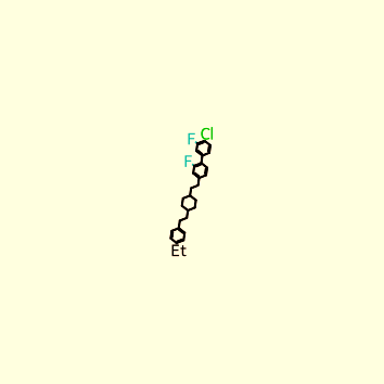 CCc1ccc(CCC2CCC(CCc3ccc(-c4ccc(Cl)c(F)c4)c(F)c3)CC2)cc1